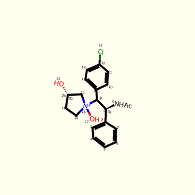 CC(=O)N[C@@H](c1ccccc1)C(c1ccc(Cl)cc1)[N+]1(O)CC[C@H](O)C1